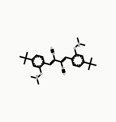 [C-]#[N+]C(=C\c1ccc(C(C)(C)C)cc1O[SiH](C)C)/C(=C/c1ccc(C(C)(C)C)cc1O[SiH](C)C)[N+]#[C-]